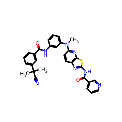 CN(c1cccc(NC(=O)c2cccc(C(C)(C)C#N)c2)c1)c1ccc2nc(NC(=O)c3cccnc3)sc2n1